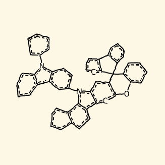 c1ccc(-n2c3ccccc3c3cc(-n4c5cc6c(cc5c5ccc7ccccc7c54)Oc4ccccc4C64c5ccccc5-c5ccccc54)ccc32)cc1